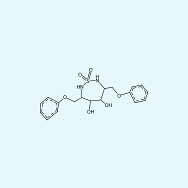 O=S1(=O)NC(COc2ccccc2)C(O)C(O)C(COc2ccccc2)N1